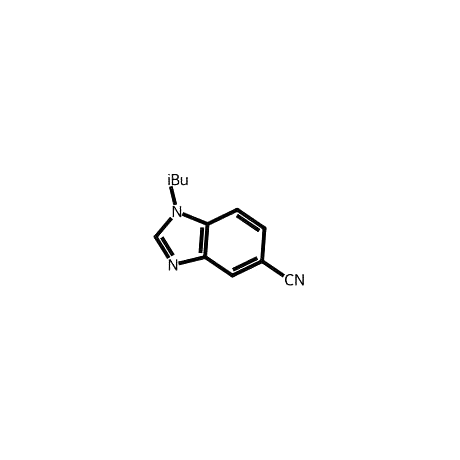 CCC(C)n1cnc2cc(C#N)ccc21